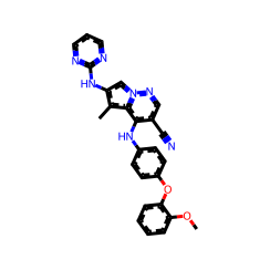 COc1ccccc1Oc1ccc(Nc2c(C#N)cnn3cc(Nc4ncccn4)c(C)c23)cc1